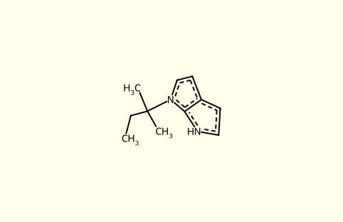 CCC(C)(C)n1ccc2cc[nH]c21